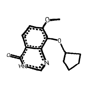 COc1ccc2c(=O)[nH]cnc2c1OC1CCCC1